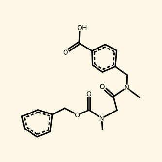 CN(Cc1ccc(C(=O)O)cc1)C(=O)CN(C)C(=O)OCc1ccccc1